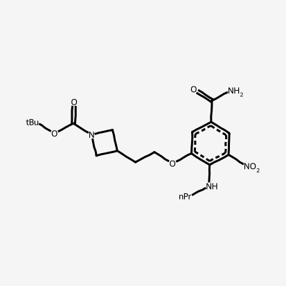 CCCNc1c(OCCC2CN(C(=O)OC(C)(C)C)C2)cc(C(N)=O)cc1[N+](=O)[O-]